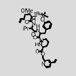 C=CCC[C@@H](OC)[C@@H](C)C(=O)NC(C(=O)NC(Cc1cccc(O[Si](C)(C)C(C)(C)C)c1)C(=O)N1CCCC(C(=O)OCc2cc(C=C)ccn2)N1)C(C)C